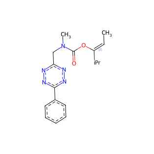 C/C=C(\OC(=O)N(C)Cc1nnc(-c2ccccc2)nn1)C(C)C